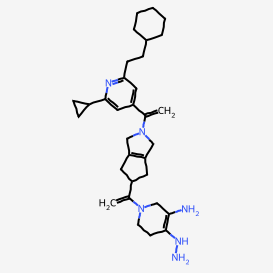 C=C(c1cc(CCC2CCCCC2)nc(C2CC2)c1)N1CC2=C(CC(C(=C)N3CCC(NN)=C(N)C3)C2)C1